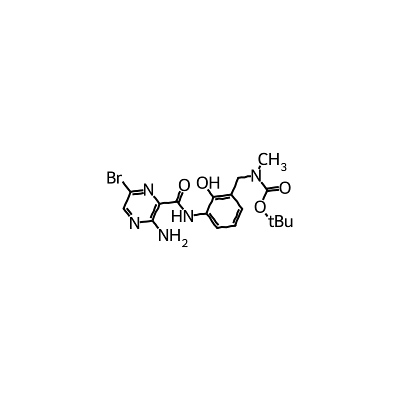 CN(Cc1cccc(NC(=O)c2nc(Br)cnc2N)c1O)C(=O)OC(C)(C)C